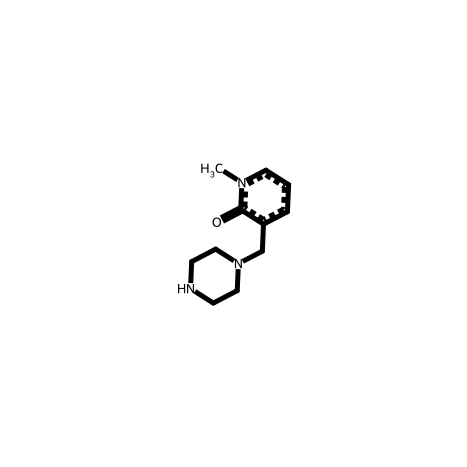 Cn1cccc(CN2CCNCC2)c1=O